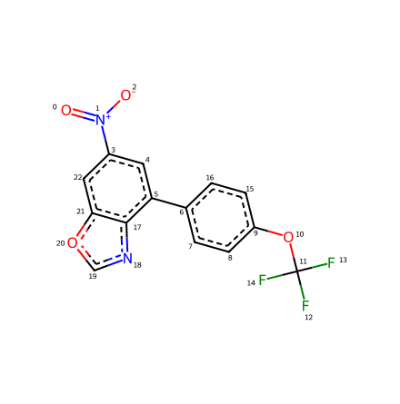 O=[N+]([O-])c1cc(-c2ccc(OC(F)(F)F)cc2)c2ncoc2c1